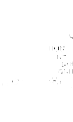 N[C@H]([C]=O)CCCCNC(=O)[C@H](CO)NC(=O)CNC(=O)[C@H](CO)NC(=O)CC[C@H](NC(=O)CCCCCCCCCCCOc1ccc(C(=O)O)cc1)C(=O)O